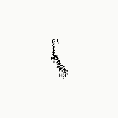 C=CC1COC(c2ccc(-c3ccc(-c4ccc(CCCCCCCCCC)c(F)c4F)cc3)c(F)c2F)OC1